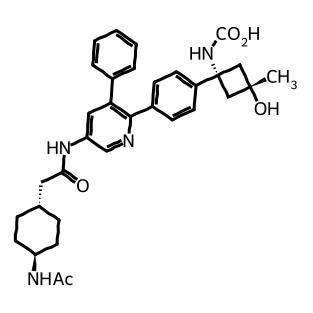 CC(=O)N[C@H]1CC[C@H](CC(=O)Nc2cnc(-c3ccc([C@]4(NC(=O)O)C[C@@](C)(O)C4)cc3)c(-c3ccccc3)c2)CC1